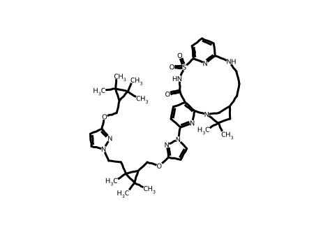 CC1(C)CC2CCCNc3cccc(n3)S(=O)(=O)NC(=O)c3ccc(-n4ccc(OCC5C(C)(C)C5(C)CCn5ccc(OCC6C(C)(C)C6(C)C)n5)n4)nc3N1C2